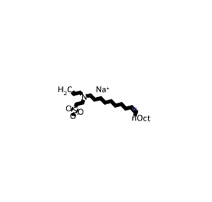 C=CCN(CCCCCCCC/C=C\CCCCCCCC)CCS(=O)(=O)[O-].[Na+]